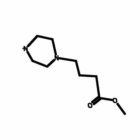 COC(=O)CCCN1CC[N]CC1